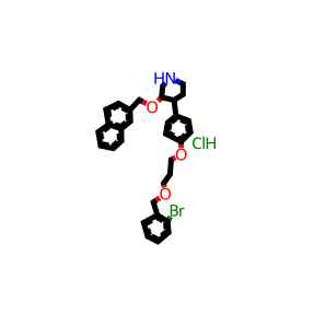 Brc1ccccc1COCCCOc1ccc(C2CCNCC2OCc2ccc3ccccc3c2)cc1.Cl